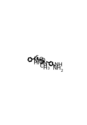 C[C@H](NC(=O)c1nc(-c2ccccc2)cs1)C(=O)NCc1ccc(C(=N)N)cc1